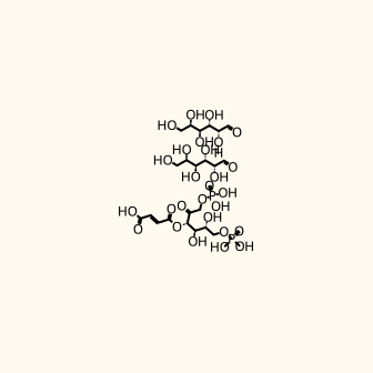 O=C(O)/C=C/C(=O)O[C@H](C(=O)COP(=O)(O)O)[C@H](O)[C@H](O)COP(=O)(O)O.O=C[C@H](O)[C@@H](O)[C@@H](O)[C@H](O)CO.O=C[C@H](O)[C@@H](O)[C@@H](O)[C@H](O)CO